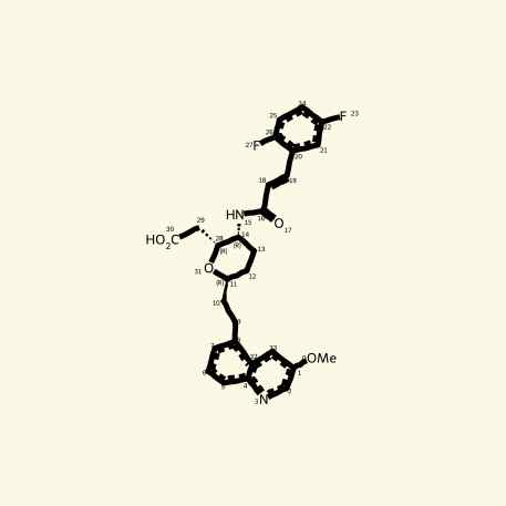 COc1cnc2cccc(CC[C@@H]3CC[C@@H](NC(=O)C=Cc4cc(F)ccc4F)[C@@H](CC(=O)O)O3)c2c1